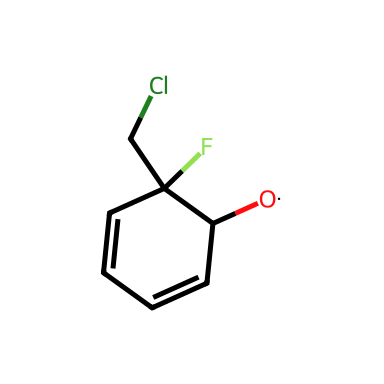 [O]C1C=CC=CC1(F)CCl